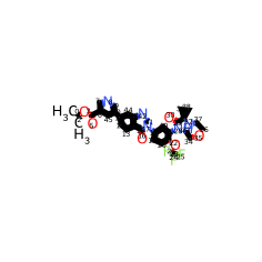 CC(C)OC(=O)c1cncc(-c2ccc3c(=O)n(-c4ccc(OC(F)(F)F)c(NC(=O)C5(N6CCOCC6)CC5)c4)cnc3c2)c1